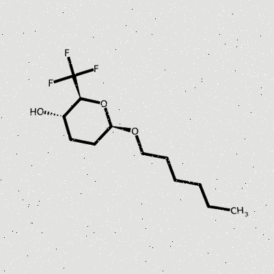 CCCCCCO[C@H]1CC[C@H](O)[C@@H](C(F)(F)F)O1